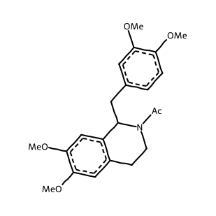 COc1ccc(CC2c3cc(OC)c(OC)cc3CCN2C(C)=O)cc1OC